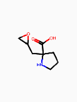 O=C(O)C1(CC2CO2)CCCN1